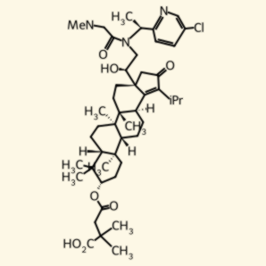 CNCC(=O)N(C[C@H](O)[C@@]12CC[C@]3(C)[C@H](CC[C@@H]4[C@@]5(C)CC[C@H](OC(=O)CC(C)(C)C(=O)O)C(C)(C)[C@@H]5CC[C@]43C)C1=C(C(C)C)C(=O)C2)[C@@H](C)c1ccc(Cl)cn1